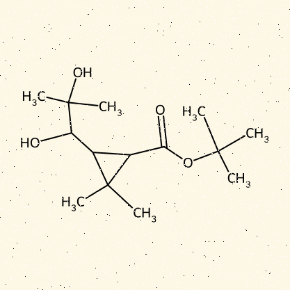 CC(C)(C)OC(=O)C1C(C(O)C(C)(C)O)C1(C)C